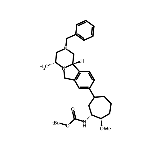 CO[C@@H]1CCCC(c2ccc3c(c2)CN2[C@H](C)CN(Cc4ccccc4)C[C@H]32)C[C@H]1NC(=O)OC(C)(C)C